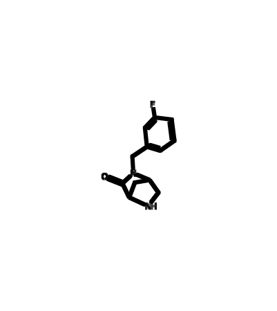 O=C1C2CC(CN2)N1Cc1cccc(F)c1